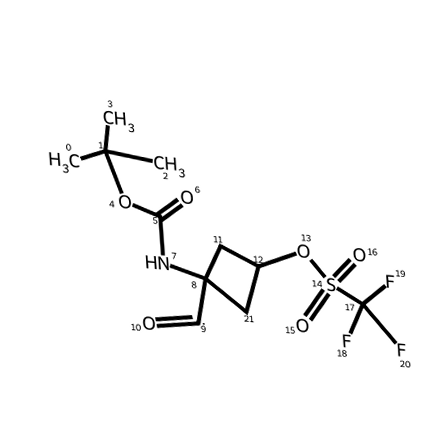 CC(C)(C)OC(=O)NC1([C]=O)CC(OS(=O)(=O)C(F)(F)F)C1